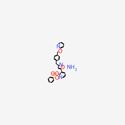 N.O=S(=O)(Oc1ncccc1-c1cc(Cc2ccc(COc3ccccn3)cc2)no1)c1ccccc1